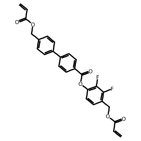 C=CC(=O)OCc1ccc(-c2ccc(C(=O)Oc3ccc(COC(=O)C=C)c(F)c3F)cc2)cc1